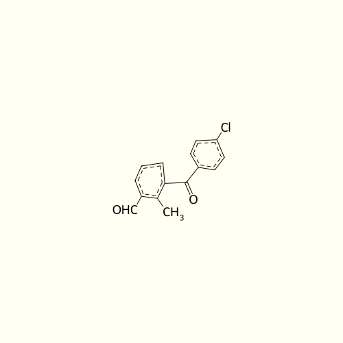 Cc1c(C=O)cccc1C(=O)c1ccc(Cl)cc1